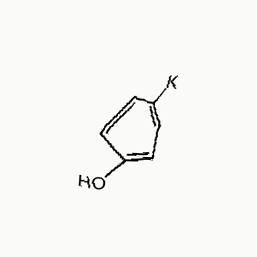 Oc1cc[c]([K])cc1